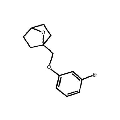 Brc1cccc(OCC23CCC(CC2)O3)c1